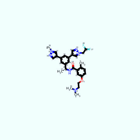 Cc1ccc(OCCN(C)C)cc1C(=O)N[C@H](C)c1cc(-c2cnn(CC(F)F)c2)cc(-c2cnn(C(C)C)c2)c1